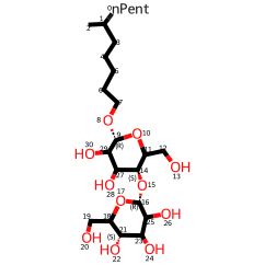 CCCCCC(C)CCCCCO[C@@H]1OC(CO)[C@@H](O[C@H]2OC(CO)[C@@H](O)C(O)C2O)C(O)C1O